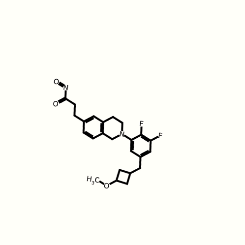 COC1CC(Cc2cc(F)c(F)c(N3CCc4cc(CCC(=O)N=O)ccc4C3)c2)C1